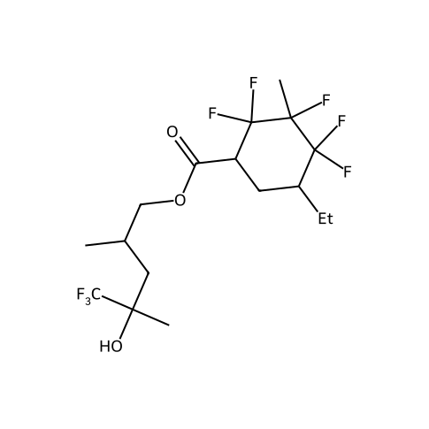 CCC1CC(C(=O)OCC(C)CC(C)(O)C(F)(F)F)C(F)(F)C(C)(F)C1(F)F